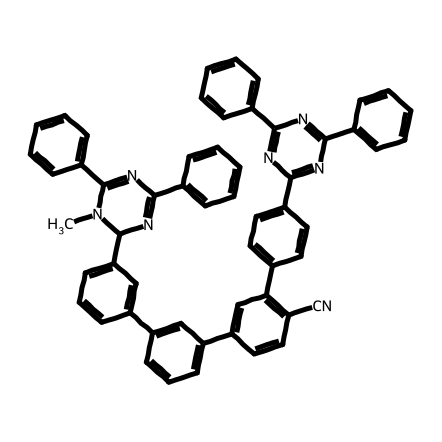 CN1C(c2ccccc2)=NC(c2ccccc2)=NC1c1cccc(-c2cccc(-c3ccc(C#N)c(-c4ccc(-c5nc(-c6ccccc6)nc(-c6ccccc6)n5)cc4)c3)c2)c1